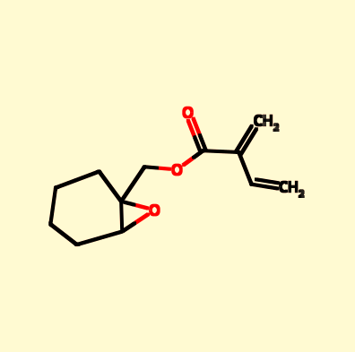 C=CC(=C)C(=O)OCC12CCCCC1O2